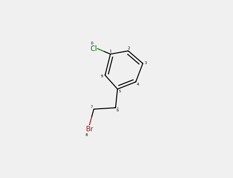 Clc1cccc([CH]CBr)c1